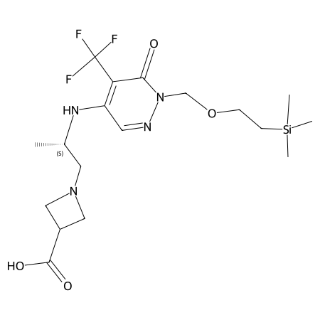 C[C@@H](CN1CC(C(=O)O)C1)Nc1cnn(COCC[Si](C)(C)C)c(=O)c1C(F)(F)F